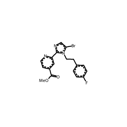 COC(=O)c1ccnc(-c2ncc(Br)n2CCc2ccc(F)cc2)c1